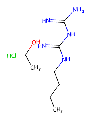 CCCCNC(=N)NC(=N)N.CCO.Cl